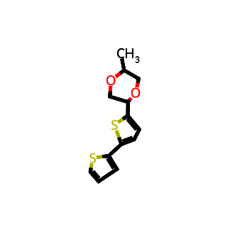 CC1COC(c2ccc(-c3cccs3)s2)CO1